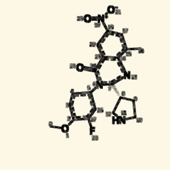 COc1ccc(-n2c([C@@H]3CCNC3)nc3c(C)cc([N+](=O)[O-])cc3c2=O)cc1F